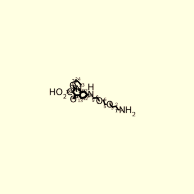 NCCCOCCOCCNc1ccc2c(=O)c(C(=O)O)c3n(c2c1)CCCO3